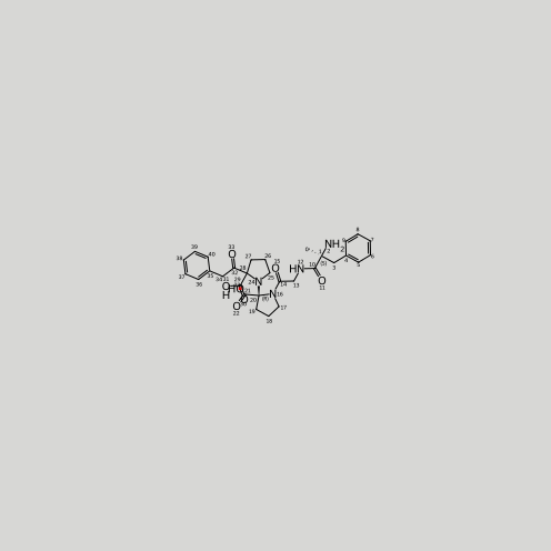 C[C@](N)(Cc1ccccc1)C(=O)NCC(=O)N1CCC[C@@]1(C(=O)O)N1CCCC1(C(=O)O)C(=O)Cc1ccccc1